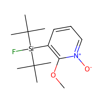 COc1c([Si](F)(C(C)(C)C)C(C)(C)C)ccc[n+]1[O-]